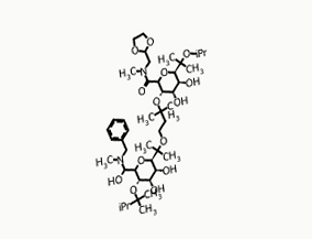 CC(C)OC(C)(C)[C@@H]1OC(C(=O)N(C)CC2OCCO2)[C@@H](OC(C)(C)CCOC(C)(C)[C@@H]2OC(C(O)N(C)Cc3ccccc3)[C@@H](OC(C)(C)C(C)C)[C@H](O)[C@@H]2O)[C@H](O)[C@@H]1O